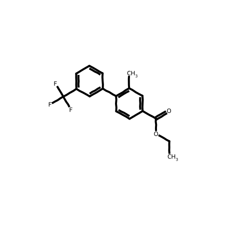 CCOC(=O)c1ccc(-c2cccc(C(F)(F)F)c2)c(C)c1